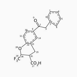 O=C(Cc1ccccc1)c1ccc2c(c1)CC(C(=O)O)C(C(F)(F)F)O2